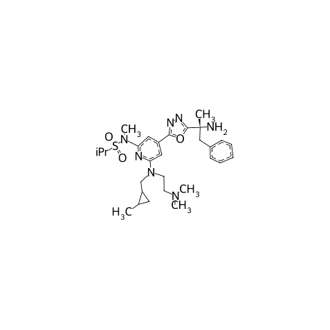 CC1CC1CN(CCN(C)C)c1cc(-c2nnc([C@](C)(N)Cc3ccccc3)o2)cc(N(C)S(=O)(=O)C(C)C)n1